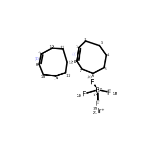 C1=C\CCCCCC/1.C1=C\CCCCCC/1.F[B-](F)(F)F.[Ir+]